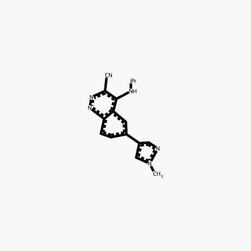 CC(C)Nc1c(C#N)nnc2ccc(-c3cnn(C)c3)cc12